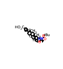 CC(C)(C)OC(=O)NC1(C(=O)N[C@]23CCCC2[C@H]2CCC4[C@@]5(C)CC=C(c6ccc(C(=O)O)cc6)C(C)(C)C5CC[C@@]4(C)[C@]2(C)CC3)CC1